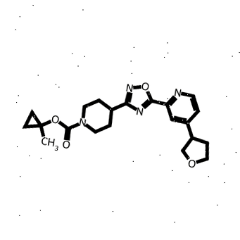 CC1(OC(=O)N2CCC(c3noc(-c4cc(C5CCOC5)ccn4)n3)CC2)CC1